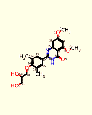 COc1cc(OC)c2c(=O)[nH]c(-c3cc(C)c(OCC(O)CO)c(C)c3)nc2c1